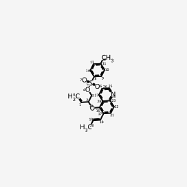 C=CC(COS(=O)(=O)c1ccc(C)cc1)Oc1c(C=CC)ccc2ncccc12